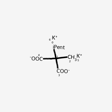 CCCC(C)C(C)(C(=O)[O-])C(=O)[O-].[K+].[K+]